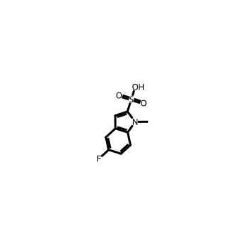 Cn1c(S(=O)(=O)O)cc2cc(F)ccc21